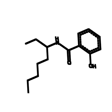 CCCCCC(CC)NC(=O)c1ccccc1O